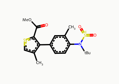 COC(=O)c1scc(C)c1-c1ccc(N([SH](=O)=O)C(C)(C)C)c(C)c1